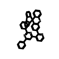 c1ccc(-c2cc(-c3cccnc3-c3ccc4c(c3)Sc3ccccc3C43c4ccccc4-c4ccccc43)nc(-c3ccccc3)n2)cc1